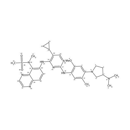 COc1cc(N2CCC(N(C)C)C2)c(C)cc1Nc1ncc(C2CC2)c(Nc2ccc3nccnc3c2N(C)S(C)(=O)=O)n1